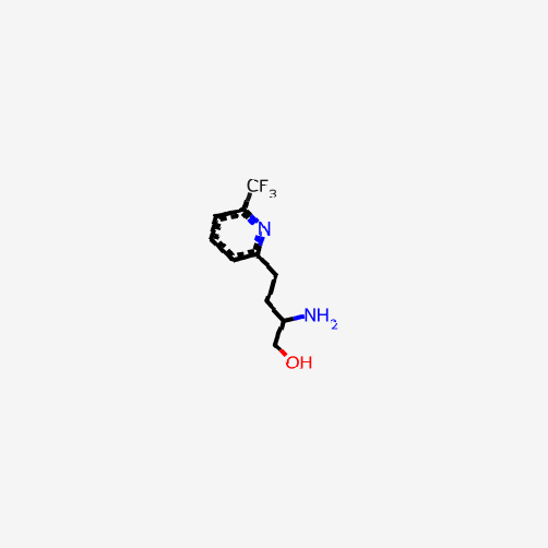 NC(CO)CCc1cccc(C(F)(F)F)n1